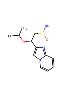 CC(C)OC(C[S+](N)[O-])c1cn2ccccc2n1